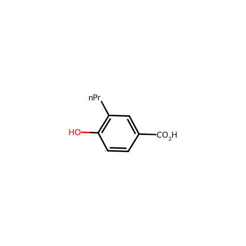 CCCc1cc(C(=O)O)c[c]c1O